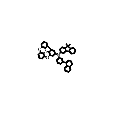 CC1(C)c2ccccc2-c2cc(N(c3cccc(-c4cccc5ccccc45)c3)c3cc4c5c(c3)c3cccc6c3n5-c3c(cccc3O4)O6)ccc21